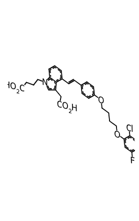 O=C(O)CCCn1cc(CC(=O)O)c2c(C=Cc3ccc(OCCCCOc4cc(F)ccc4Cl)cc3)cccc21